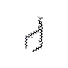 CCCCCC/C=C\COC(=S)CCCCCCCC(CCCCCCCC(=S)OC/C=C\CCCCCC)OC(=O)CC1CC(CN(C)C)C1